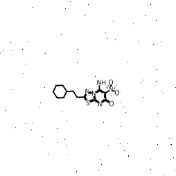 Nc1c([N+](=O)[O-])c(=O)nc2sc(CCC3CCCCC3)nn12